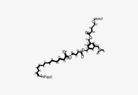 CCCCC/C=C\C/C=C\CCCCCCCC(=O)OCCCC(=O)OCc1cc(COC(=O)CCCOC=O)cc(CN(C)C)c1